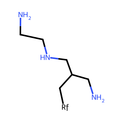 NCCNCC(CN)[CH2][Rf]